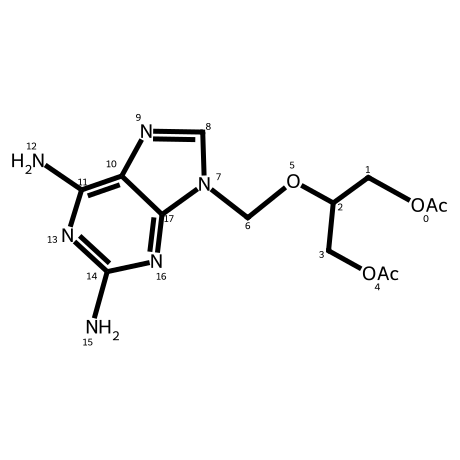 CC(=O)OCC(COC(C)=O)OCn1cnc2c(N)nc(N)nc21